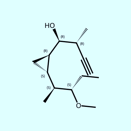 C#C[C@@H](C)[C@H](O)[C@@H]1C[C@H]1[C@H](C)[C@H](CC)OC